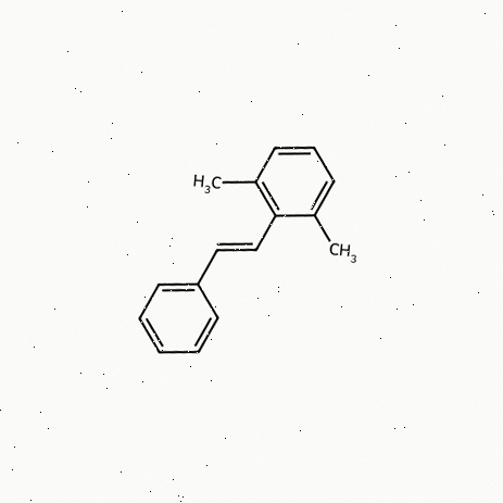 Cc1cccc(C)c1/C=C/c1ccccc1